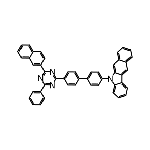 c1ccc(-c2nc(-c3ccc(-c4ccc(-n5c6ccccc6c6cc7ccccc7cc65)cc4)cc3)nc(-c3ccc4ccccc4c3)n2)cc1